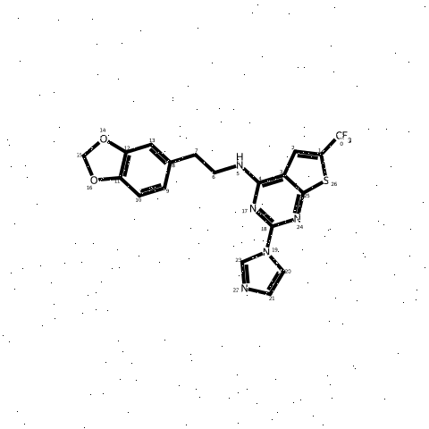 FC(F)(F)c1cc2c(NCCc3ccc4c(c3)OCO4)nc(-n3ccnc3)nc2s1